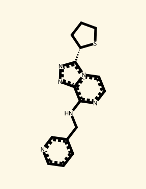 c1cncc(CNc2nccn3c([C@@H]4CCCS4)nnc23)c1